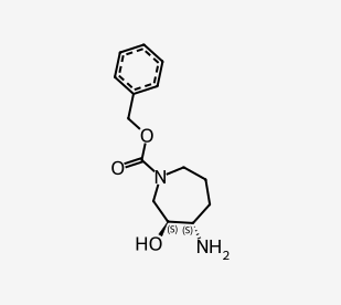 N[C@H]1CCCN(C(=O)OCc2ccccc2)C[C@@H]1O